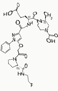 C[C@H]1CN(C(=O)O)CCN1C(=O)[C@H](CCC(=O)O)NC(=O)c1cc(OCC(=O)N2CCC[C@H]2C(=O)NCCF)n(-c2ccccc2)n1